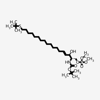 COP(=O)(OC)OC[C@H](NC(=O)OC(C)(C)C)[C@H](O)/C=C/CCCCCCCCCCCCCSC(C)(C)C